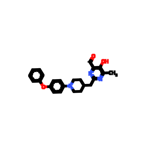 Cc1nc(CC2CCN(c3ccc(Oc4ccccc4)cc3)CC2)nc([C]=O)c1O